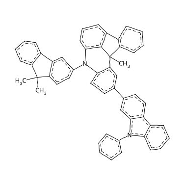 CC1(C)c2ccccc2-c2cc(N3c4ccc(-c5ccc6c7ccccc7n(-c7ccccc7)c6c5)cc4C4(C)c5ccccc5-c5cccc3c54)ccc21